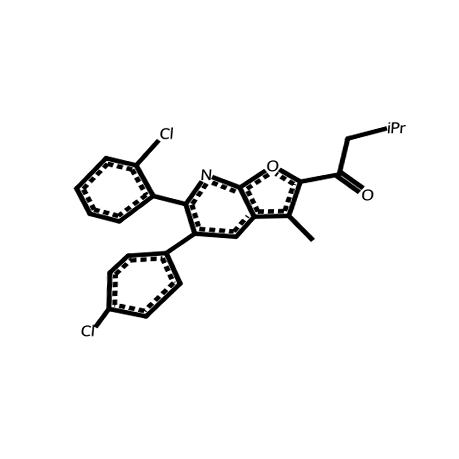 Cc1c(C(=O)CC(C)C)oc2nc(-c3ccccc3Cl)c(-c3ccc(Cl)cc3)cc12